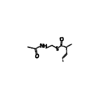 CC=CC(C)C(=O)SCCNC(C)=O